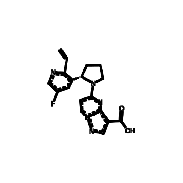 C=Cc1ncc(F)cc1[C@@H]1CCCN1c1ccn2ncc(C(=O)O)c2n1